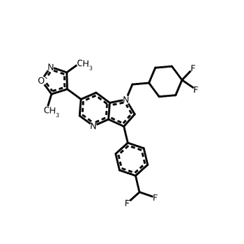 Cc1noc(C)c1-c1cnc2c(-c3ccc(C(F)F)cc3)cn(CC3CCC(F)(F)CC3)c2c1